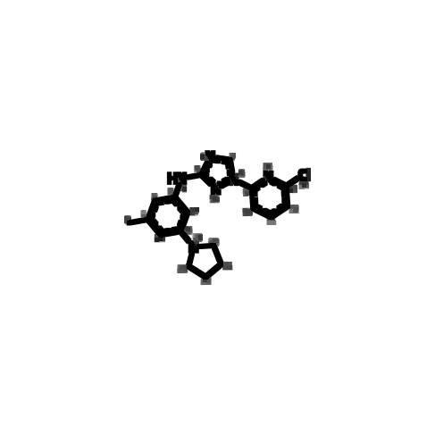 Cc1cc(Nc2ncn(-c3cccc(Cl)n3)n2)cc(N2CCCC2)c1